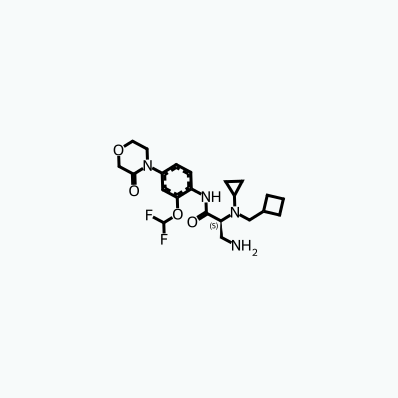 NC[C@@H](C(=O)Nc1ccc(N2CCOCC2=O)cc1OC(F)F)N(CC1CCC1)C1CC1